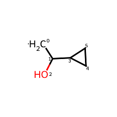 [CH2]C(O)C1CC1